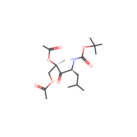 CC(=O)OC[C@@](C)(OC(C)=O)C(=O)[C@H](CC(C)C)NC(=O)OC(C)(C)C